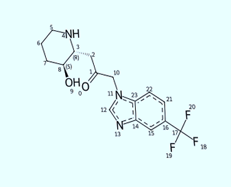 O=C(C[C@H]1NCCC[C@@H]1O)Cn1cnc2cc(C(F)(F)F)ccc21